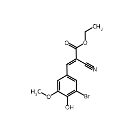 CCOC(=O)/C(C#N)=C/c1cc(Br)c(O)c(OC)c1